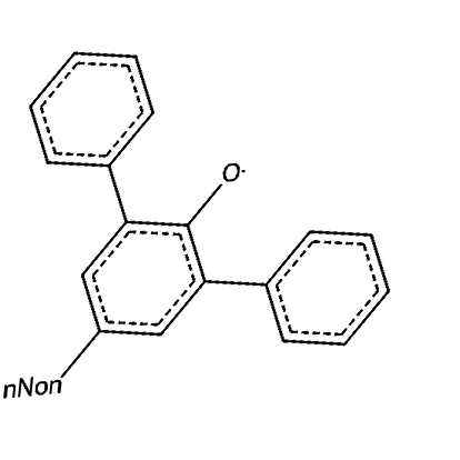 CCCCCCCCCc1cc(-c2ccccc2)c([O])c(-c2ccccc2)c1